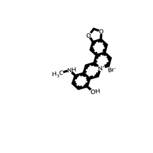 CNc1ccc(O)c2c[n+]3ccc4cc5c(cc4c3cc12)OCO5.[Br-]